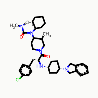 CC1CN(C(=O)[C@@H](Cc2ccc(Cl)cc2)N[C@H]2CC[C@@H](N3Cc4ccccc4C3)CC2)CCC1N(C(=O)N(C)C)C1CCCCC1